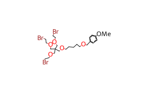 COc1ccc(COCCCCCOCC(COCCBr)(COCCBr)COCCBr)cc1